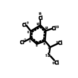 ClSC(Cl)c1cc(Cl)c(Cl)c(Cl)c1Cl